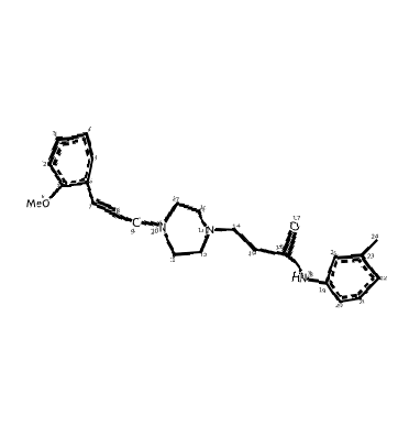 COc1ccccc1C=CCN1CCN(CCC(=O)Nc2cccc(C)c2)CC1